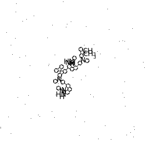 CC1(C)c2ccccc2-c2ccc(N(c3ccccc3)c3ccc(-c4ccc5ccc6c(c5c4)/C(=N/Nc4ccccc4)C(=N)C=C6c4ccc5c(c4)C4(c6ccccc6-c6ccccc64)c4ccc(N(c6ccccc6)c6ccc(-c7ccc8ccc9c(c8c7)/C(=N/Nc7ccccc7)C(=N)C=C9)cc6)cc4-5)cc3)cc21